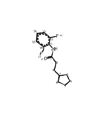 O=C(CCC1CCCC1)Nc1c(F)cccc1F